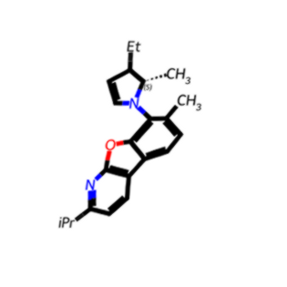 CCC1C=CN(c2c(C)ccc3c2oc2nc(C(C)C)ccc23)[C@H]1C